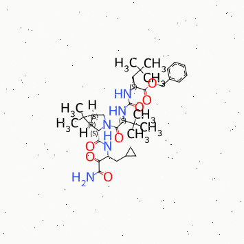 CC(C)(C)C[C@H](NC(=O)N[C@H](C(=O)N1C[C@H]2[C@@H]([C@H]1C(=O)NC(CC1CC1)C(=O)C(N)=O)C2(C)C)C(C)(C)C)C(=O)OCc1ccccc1